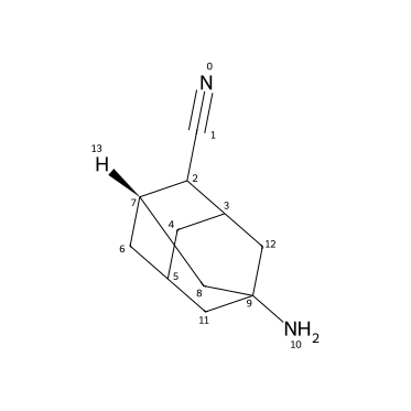 N#CC1C2CC3C[C@H]1CC(N)(C3)C2